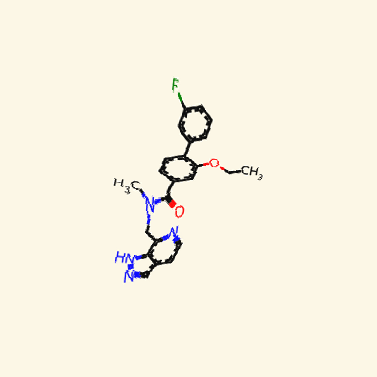 CCOc1cc(C(=O)N(C)Cc2nccc3cn[nH]c23)ccc1-c1cccc(F)c1